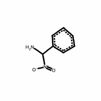 NC(c1ccccc1)[N+](=O)[O-]